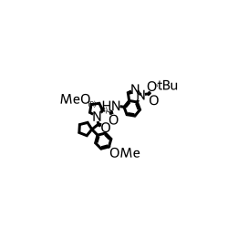 COc1ccc(C2(C(=O)N3C[C@H](OC)C[C@@H]3C(=O)Nc3cccc4c3cnn4C(=O)OC(C)(C)C)CCCC2)cc1